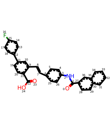 O=C(Nc1ccc(C=Cc2cc(-c3ccc(F)cc3)ccc2C(=O)O)cc1)c1ccc2ccccc2c1